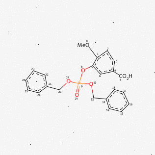 COc1ccc(C(=O)O)cc1OP(=O)(OCc1ccccc1)OCc1ccccc1